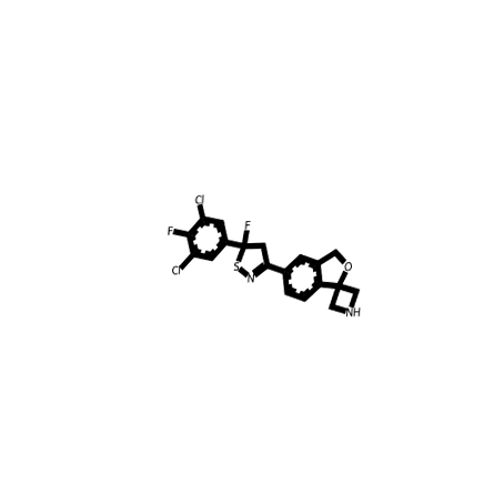 Fc1c(Cl)cc(C2(F)CC(c3ccc4c(c3)COC43CNC3)=NS2)cc1Cl